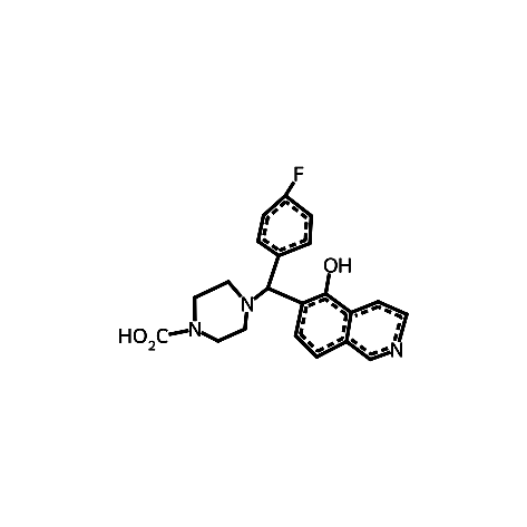 O=C(O)N1CCN(C(c2ccc(F)cc2)c2ccc3cnccc3c2O)CC1